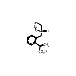 C=C(C(=O)O)c1ccccc1CP(=O)(CC(C)C)OCC